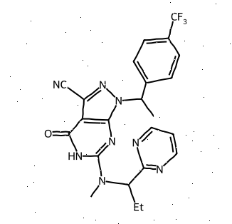 CCC(c1ncccn1)N(C)c1nc2c(c(C#N)nn2C(C)c2ccc(C(F)(F)F)cc2)c(=O)[nH]1